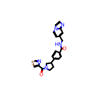 O=C(NCc1ccn2ccnc2c1)c1ccc(C2CCN(C(=O)c3cscn3)C2)cc1